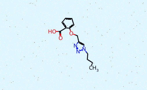 CCCCn1cc(COc2ccccc2C(=O)O)nn1